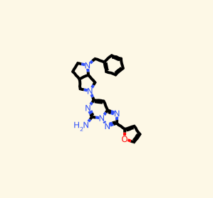 Nc1nc(N2CC3CCN(Cc4ccccc4)C3C2)cc2nc(-c3ccco3)nn12